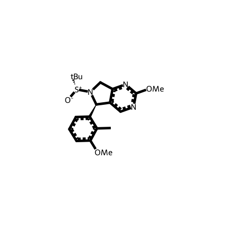 COc1ncc2c(n1)CN([S@+]([O-])C(C)(C)C)[C@@H]2c1cccc(OC)c1C